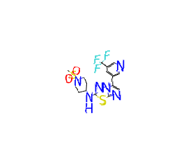 CS(=O)(=O)N1CCC(Nc2nn3c(-c4cncc(C(F)(F)F)c4)cnc3s2)CC1